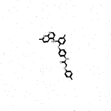 Cc1ccc(OCC(=O)Nc2ccc(Sc3ccc(C)cc3Nc3ccnc4nc(C)ccc34)cc2)cc1